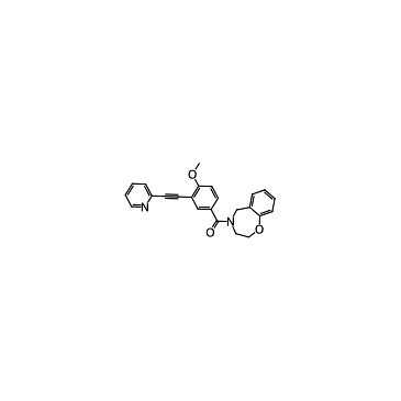 COc1ccc(C(=O)N2CCOc3ccccc3C2)cc1C#Cc1ccccn1